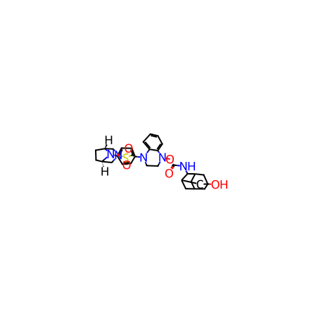 CS(=O)(=O)N1C[C@H]2CC[C@H](C1)N2c1ccc(N2CCN(OC(=O)NC3C4CC5CC3CC(O)(C5)C4)c3ccccc32)cc1